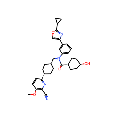 COc1ccc([C@H]2CC[C@H](CN(c3cccc(-c4coc(C5CC5)n4)c3)C(=O)[C@H]3CC[C@H](O)CC3)CC2)nc1C#N